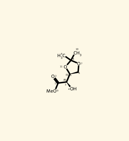 COC(=O)[C@H](O)[C@@H]1COC(C)(C)O1